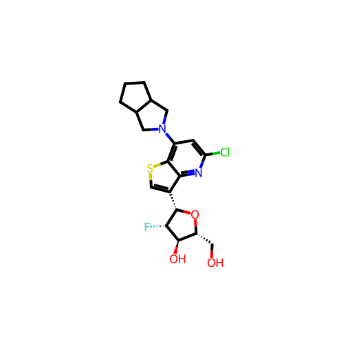 OC[C@H]1O[C@@H](c2csc3c(N4CC5CCCC5C4)cc(Cl)nc23)[C@@H](F)[C@@H]1O